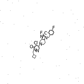 O=c1c(Cl)c(N2CCc3c(ncn3Cc3ccc(F)cc3C(F)(F)F)C2)cnn1CC1CCC1